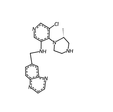 C[C@@H]1CNCCN1c1c(Cl)cncc1NCc1ccc2nccnc2c1